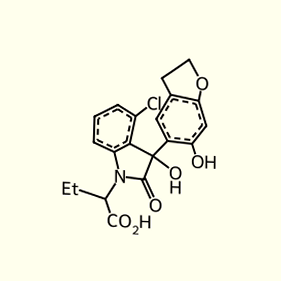 CCC(C(=O)O)N1C(=O)C(O)(c2cc3c(cc2O)OCC3)c2c(Cl)cccc21